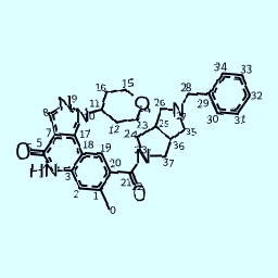 Cc1cc2[nH]c(=O)c3cnn(C4CCOCC4)c3c2cc1C(=O)N1CC2CN(Cc3ccccc3)CC2C1